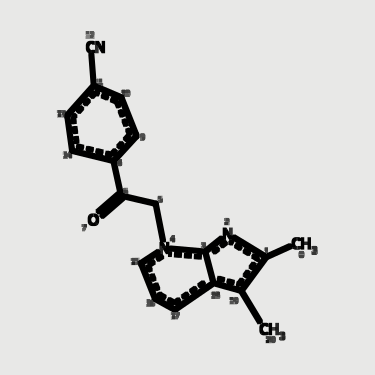 Cc1nc2n(CC(=O)c3ccc(C#N)cc3)cccc-2c1C